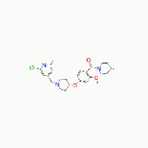 COc1cc(OC2CCN(Cc3cc(C)nc(Cl)c3)CC2)ccc1C(=O)N1CC[CH]CC1